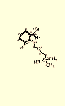 C[Si](C)(C)CCOCn1nc(Br)c2cccc(F)c21